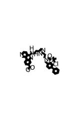 COC(=O)c1ccc2c(c1)nc(NCCc1cnc(CCN(Cc3ccc(-c4ccccc4)c(Cl)c3)C(=O)OC(C)(C)C)[nH]1)c1ccncc12